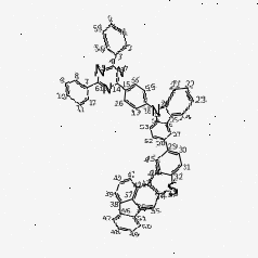 c1ccc(-c2nc(-c3ccccc3)nc(-c3ccc(-n4c5ccccc5c5cc(-c6ccc7sc8cc9c%10c(cccc%10c8c7c6)-c6ccccc6-9)ccc54)cc3)n2)cc1